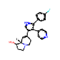 OC1CCN2CCC(c3c[nH]c(-c4ccc(F)cc4)c3-c3ccncc3)=C[C@@H]12